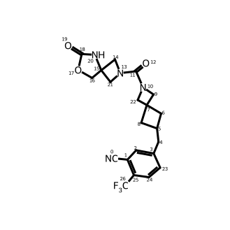 N#Cc1cc(CC2CC3(C2)CN(C(=O)N2CC4(COC(=O)N4)C2)C3)ccc1C(F)(F)F